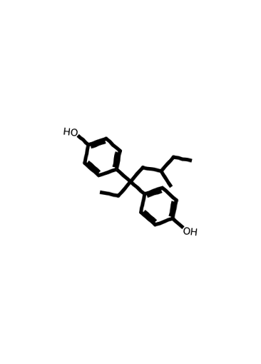 CCC(C)CC(CC)(c1ccc(O)cc1)c1ccc(O)cc1